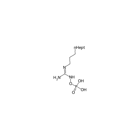 CCCCCCCCCCN=C(N)NOP(=O)(O)O